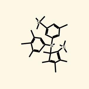 CC1=C(C)C(C)([Si](C)(c2cc(C)cc([Si](C)(C)C)c2)c2cc(C)c(C)c(C)c2)[C]([Ti]([CH3])([CH3])[CH3])=C1C